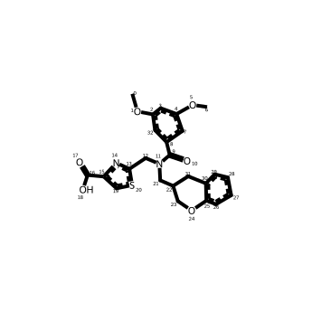 COc1cc(OC)cc(C(=O)N(Cc2nc(C(=O)O)cs2)CC2COc3ccccc3C2)c1